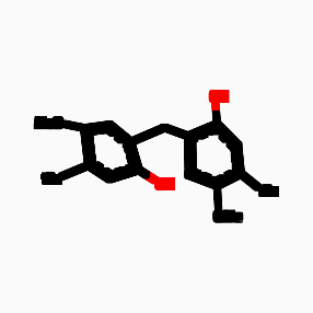 COc1cc(Cc2cc(OC)c(C(C)(C)C)cc2O)c(O)cc1C(C)(C)C